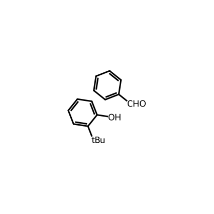 CC(C)(C)c1ccccc1O.O=Cc1ccccc1